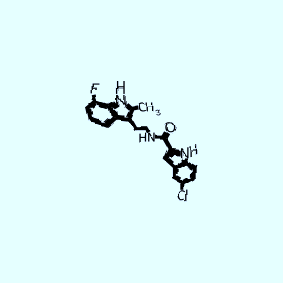 Cc1[nH]c2c(F)cccc2c1CCNC(=O)c1cc2cc(Cl)ccc2[nH]1